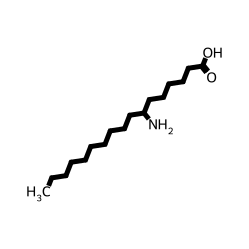 CCCCCCCCCCC(N)CCCCCC(=O)O